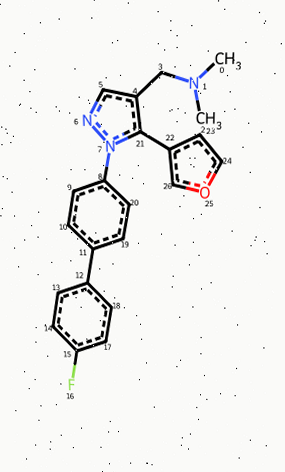 CN(C)Cc1cnn(-c2ccc(-c3ccc(F)cc3)cc2)c1-c1ccoc1